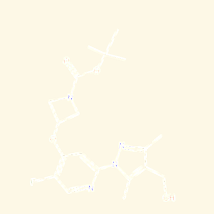 Cc1nn(-c2cc(OC3CN(C(=O)OC(C)(C)C)C3)c(F)cn2)c(C)c1CO